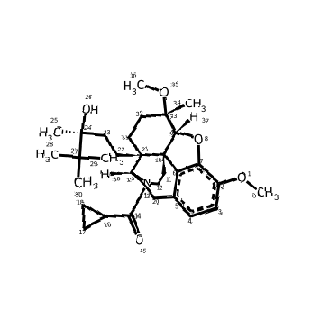 COc1ccc2c3c1O[C@@H]1[C@]34CCN(C(=O)C3CC3)[C@H](C2)[C@]4(CC[C@](C)(O)C(C)(C)C)CC[C@]1(C)OC